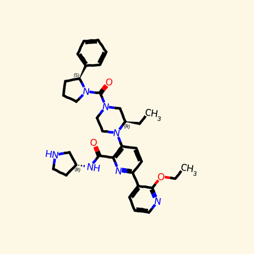 CCOc1ncccc1-c1ccc(N2CCN(C(=O)N3CCC[C@H]3c3ccccc3)C[C@H]2CC)c(C(=O)N[C@@H]2CCNC2)n1